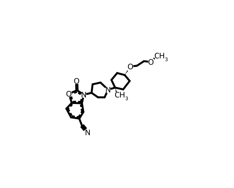 COCCO[C@H]1CC[C@](C)(N2CCC(n3c(=O)oc4ccc(C#N)cc43)CC2)CC1